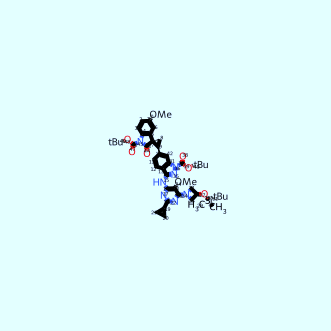 COc1ccc2c(c1)[C@]1(C[C@H]1c1ccc3c(Nc4nc(C5CC5)nc(N5CC(O[Si](C)(C)C(C)(C)C)C5)c4OC)nn(C(=O)OC(C)(C)C)c3c1)C(=O)N2C(=O)OC(C)(C)C